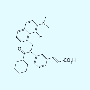 CN(C)c1ccc2cccc(CN(C(=O)C3CCCCC3)c3cccc(/C=C/C(=O)O)c3)c2c1F